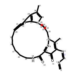 C=N/C=N\c1c(C)n2nc(c1=O)C(=O)NCCCCCc1cnc3c(c1)c(C)cn3C1(CCCC1)C2